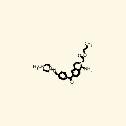 CCCOC(=O)CN1CCc2cc(C(=O)c3ccc(C=NN4CCN(C)CC4)cc3)ccc2C1N